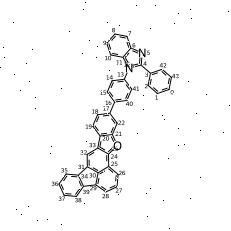 c1ccc(-c2nc3ccccc3n2-c2ccc(-c3ccc4c(c3)oc3c5cccc6c5c(cc43)-c3ccccc3-6)cc2)cc1